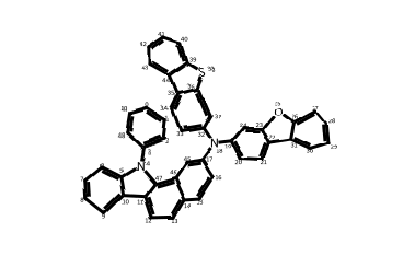 c1ccc(-n2c3ccccc3c3ccc4ccc(N(c5ccc6c(c5)oc5ccccc56)c5ccc6c(c5)sc5ccccc56)cc4c32)cc1